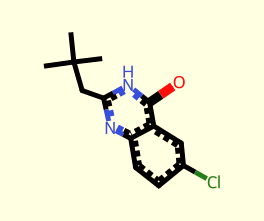 CC(C)(C)Cc1nc2ccc(Cl)cc2c(=O)[nH]1